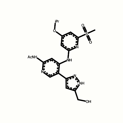 CC(=O)Nc1cc(Nc2cc(OC(C)C)cc(S(C)(=O)=O)n2)c(-c2cc(CO)[nH]n2)cn1